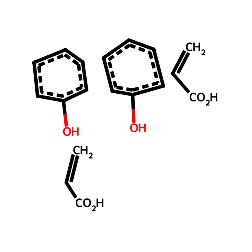 C=CC(=O)O.C=CC(=O)O.Oc1ccccc1.Oc1ccccc1